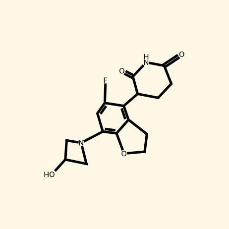 O=C1CCC(c2c(F)cc(N3CC(O)C3)c3c2CCO3)C(=O)N1